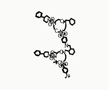 CC1CCN(CC2CCCCC2CN(C)c2ccc(S(=O)(=O)N3CCCCN(S(=O)(=O)N4CCC(c5ccccc5)CC4)CCCN(CC4CCCCC4)CCC3)cc2)CCCN(S(=O)(=O)c2ccc(N(C)C)cc2)CC(C)(C)CN1S(=O)(=O)N1CCC(c2ccccc2)CC1